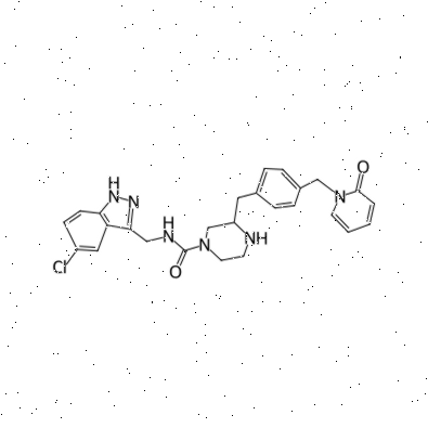 O=C(NCc1n[nH]c2ccc(Cl)cc12)N1CCNC(Cc2ccc(Cn3ccccc3=O)cc2)C1